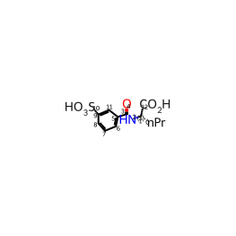 CCC[C@H](NC(=O)c1cccc(S(=O)(=O)O)c1)C(=O)O